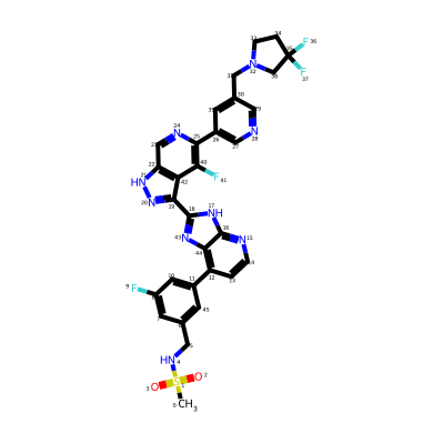 CS(=O)(=O)NCc1cc(F)cc(-c2ccnc3[nH]c(-c4n[nH]c5cnc(-c6cncc(CN7CCC(F)(F)C7)c6)c(F)c45)nc23)c1